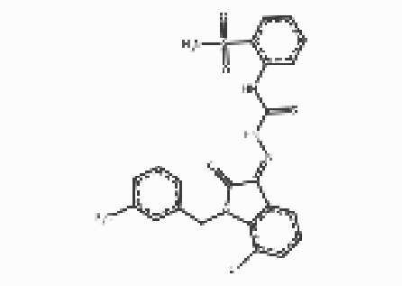 NS(=O)(=O)c1ccccc1NC(=S)NN=C1C(=O)N(Cc2cccc(C(F)(F)F)c2)c2c(Cl)cccc21